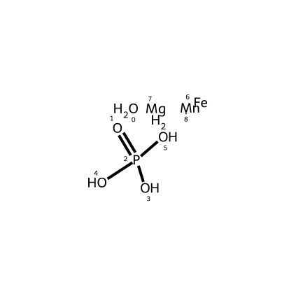 O.O=P(O)(O)O.[Fe].[MgH2].[Mn]